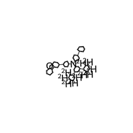 [2H]c1c([2H])c([2H])c(-c2cc(-c3c([2H])c([2H])c([2H])c([2H])c3[2H])cc(N(c3ccc(-c4ccccc4)cc3)c3ccc(-c4ccc5oc6ccccc6c5c4)cc3)c2)c([2H])c1[2H]